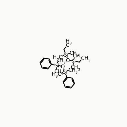 CC[Si](C)(C)O[Si](C)(C)CC.C[Si](C)(O[Si](C)(C)c1ccccc1)c1ccccc1